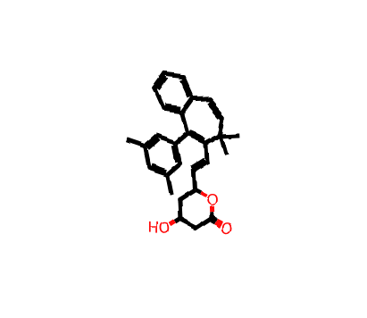 Cc1cc(C)cc(C2=C(C=CC3CC(O)CC(=O)O3)C(C)(C)C=Cc3ccccc32)c1